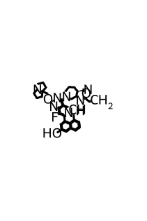 C#Cc1cccc2cc(O)cc(-c3ncc4c(N5CCC[C@@H](C#N)[C@H](NC(=O)C=C)C5)nc(OCC56CCCN5CCC6)nc4c3F)c12